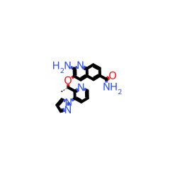 C[C@H](Oc1cc2cc(C(N)=O)ccc2nc1N)c1ncccc1-n1cccn1